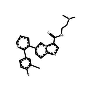 Cc1cc(-c2ncccc2-c2ccc3ncc(C(=O)NCCN(C)C)n3c2)ccc1F